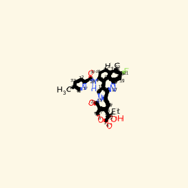 CC[C@@]1(O)C(=O)OCc2c1cc1n(c2=O)Cc2c-1nc1cc(F)c(C)c3c1c2[C@@H](NC(=O)c1ccc(C)cn1)CC3